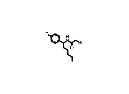 CCCCCC(NC(=O)CBr)c1ccc(F)cc1